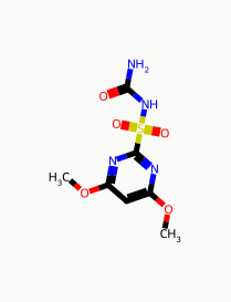 COc1cc(OC)nc(S(=O)(=O)NC(N)=O)n1